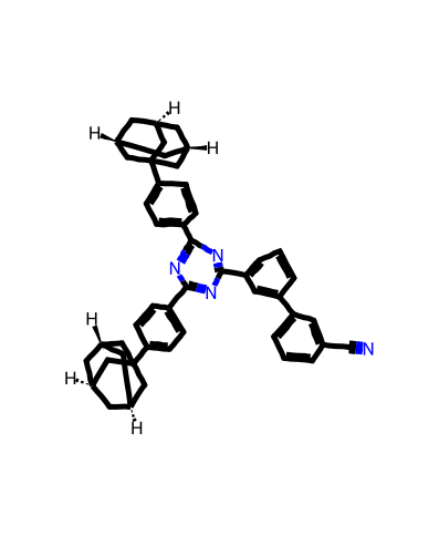 N#Cc1cccc(-c2cccc(-c3nc(-c4ccc(C56C[C@H]7C[C@@H](C5)C[C@@H](C6)C7)cc4)nc(-c4ccc(C56C[C@H]7C[C@H](C5)C[C@@H](C6)C7)cc4)n3)c2)c1